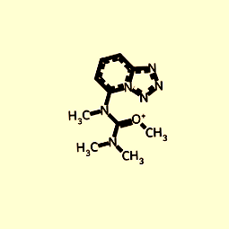 C[O+]=C(N(C)C)N(C)c1cccc2nnnn12